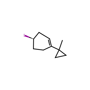 CC1(C2=CC[C@H](I)CC2)CC1